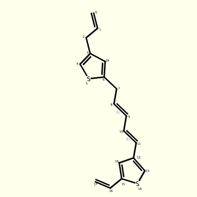 C=CCc1csc(C/C=C/C=C/c2csc(C=C)c2)c1